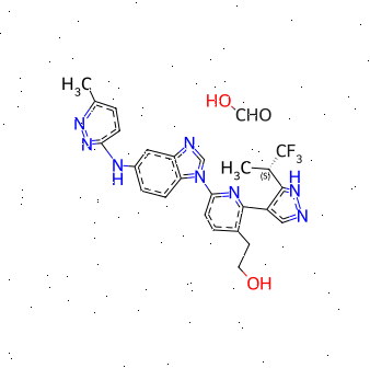 Cc1ccc(Nc2ccc3c(c2)ncn3-c2ccc(CCO)c(-c3cn[nH]c3[C@H](C)C(F)(F)F)n2)nn1.O=CO